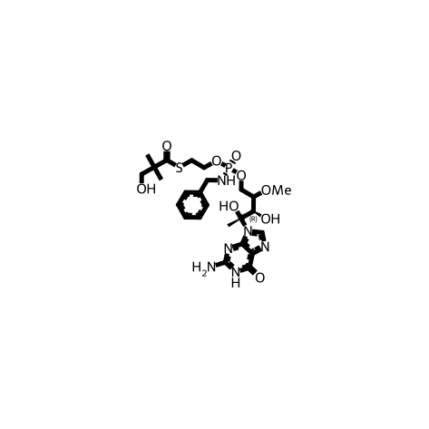 COC(COP(=O)(NCc1ccccc1)OCCSC(=O)C(C)(C)CO)[C@@H](O)[C@@](C)(O)n1cnc2c(=O)[nH]c(N)nc21